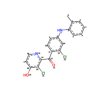 Cc1ccccc1Nc1ccc(C(=O)c2nccc(O)c2Cl)c(Cl)c1